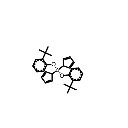 CC(C)(C)c1ccccc1[O][Zr]([O]c1ccccc1C(C)(C)C)([CH]1C=CC=C1)[CH]1C=CC=C1